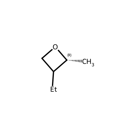 CCC1CO[C@@H]1C